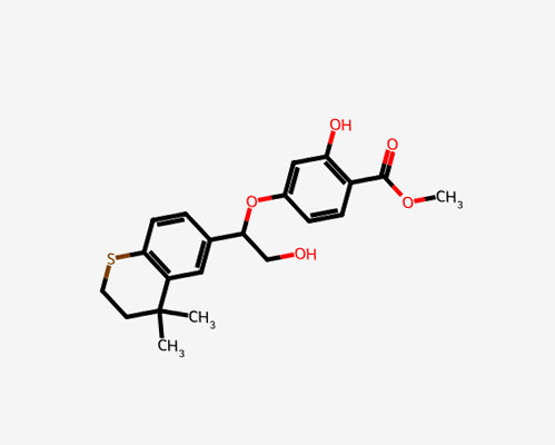 COC(=O)c1ccc(OC(CO)c2ccc3c(c2)C(C)(C)CCS3)cc1O